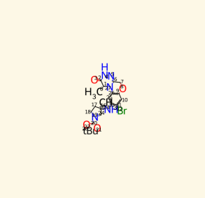 C[C@@H]1C(=O)NN=C2COc3cc(Br)c(N[C@]4(C)CCN(C(=O)OC(C)(C)C)C4)cc3N21